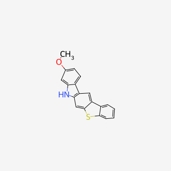 COc1ccc2c(c1)[nH]c1cc3sc4ccccc4c3cc12